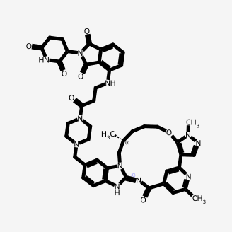 Cc1cc2cc(n1)-c1cnn(C)c1OCCC[C@@H](C)CN1/C(=N/C2=O)Nc2ccc(CN3CCN(C(=O)CCNc4cccc5c4C(=O)N(C4CCC(=O)NC4=O)C5=O)CC3)cc21